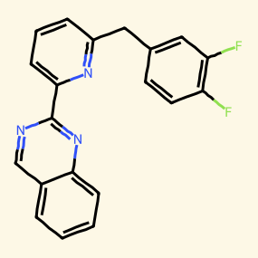 Fc1ccc(Cc2cccc(-c3ncc4ccccc4n3)n2)cc1F